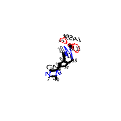 Cc1cnc(C#N)c(C2=CC3CN(C(=O)OC(C)(C)C)CC3C2)n1